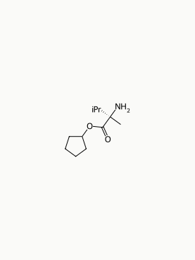 CC(C)[C@@](C)(N)C(=O)OC1CCCC1